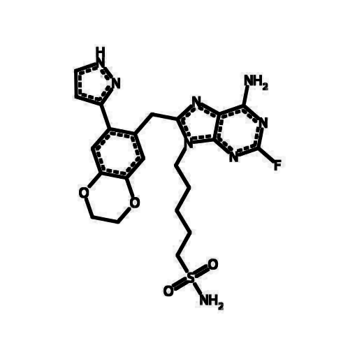 Nc1nc(F)nc2c1nc(Cc1cc3c(cc1-c1cc[nH]n1)OCCO3)n2CCCCCS(N)(=O)=O